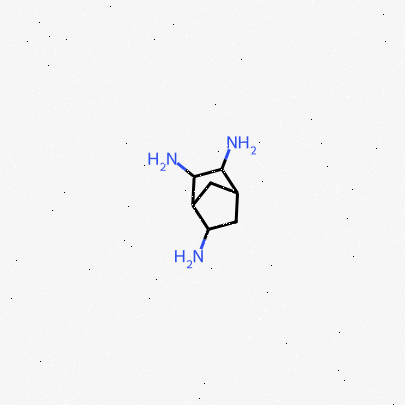 NC1CC2CC1C(N)C2N